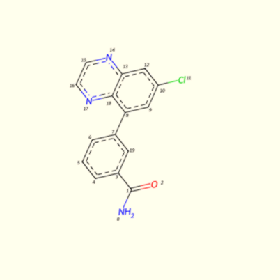 NC(=O)c1cccc(-c2cc(Cl)cc3nccnc23)c1